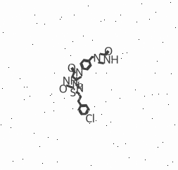 NC(=O)C1SC(CCc2ccc(Cl)cc2)=NN1[C@@H]1CC(=O)N(c2ccc(CN3CCNC(=O)C3)cc2)C1